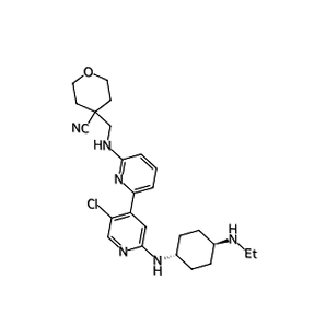 CCN[C@H]1CC[C@H](Nc2cc(-c3cccc(NCC4(C#N)CCOCC4)n3)c(Cl)cn2)CC1